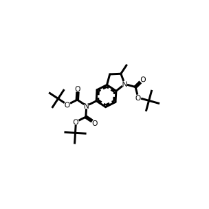 CC1Cc2cc(N(C(=O)OC(C)(C)C)C(=O)OC(C)(C)C)ccc2N1C(=O)OC(C)(C)C